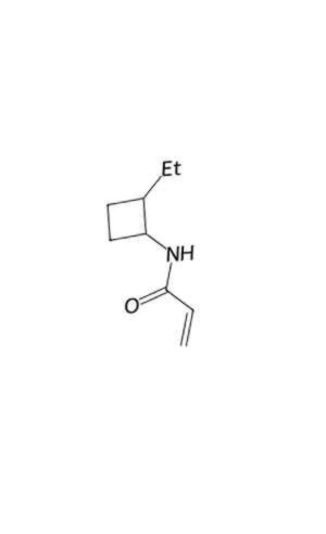 C=CC(=O)NC1CCC1CC